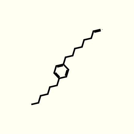 [CH]=CCCCCCCc1ccc(CCCCCC)cc1